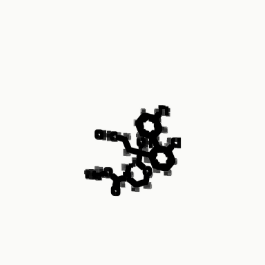 CCc1cccc(-c2c(Cl)cccc2[C@](O)(CCC=O)[C@H]2CN(C(=O)OC(C)(C)C)CCO2)c1